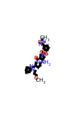 COCCCn1c([C@@H]2CCCN(C(=O)[C@@H]3CN(S(=O)(=O)c4cccc(-c5noc(C)n5)c4)C[C@H]3N)C2)nc2ccccc21